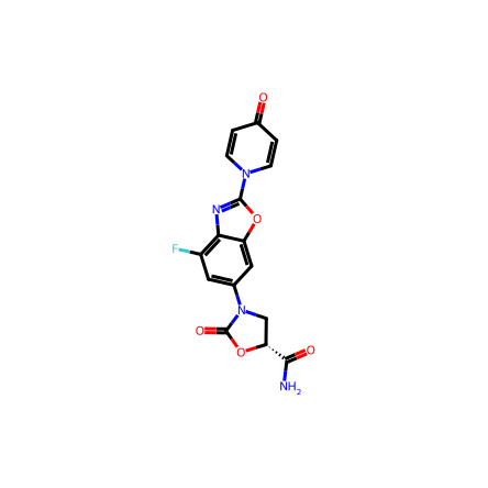 NC(=O)[C@H]1CN(c2cc(F)c3nc(-n4ccc(=O)cc4)oc3c2)C(=O)O1